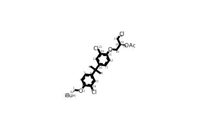 CC[C@@H](C)COc1ccc(C(C)(C)c2ccc(OC[C@@H](CCl)OC(C)=O)c(Cl)c2)cc1Cl